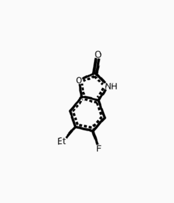 CCc1cc2oc(=O)[nH]c2cc1F